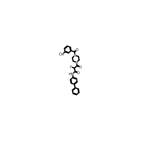 [C-]#[N+]c1cccc(C(=O)N2CCN(C(=O)C(F)C(=O)Nc3ccc(-c4ccccc4)cc3)CC2)c1